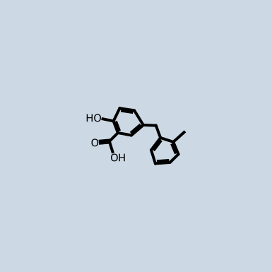 Cc1ccccc1Cc1ccc(O)c(C(=O)O)c1